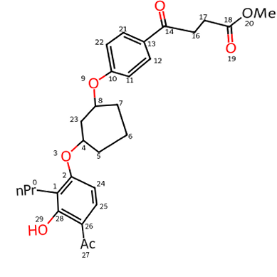 CCCc1c(OC2CCCC(Oc3ccc(C(=O)CCC(=O)OC)cc3)C2)ccc(C(C)=O)c1O